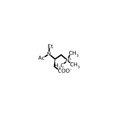 CCN(C(C)=O)[C@H](CC(=O)[O-])C[N+](C)(C)C